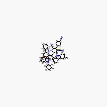 Cc1ccc2c(c1)c1cc(C)ccc1n2-c1c(C#N)c(-c2ccc(C#N)cc2)c(C#N)c(-n2c3ccc(C)cc3c3cc(C)ccc32)c1C1C=Cc2c(c3ccccc3n2-c2ccccc2)C1